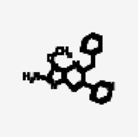 COn1c(N)nc2cc(-c3cccnc3)c(Cc3ccccc3)nc21